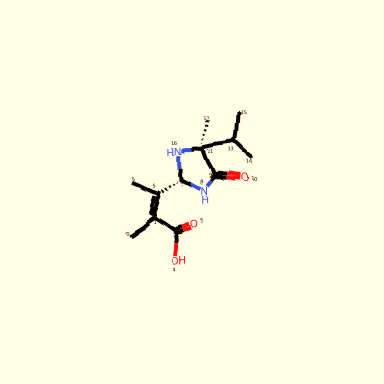 C/C(C(=O)O)=C(\C)[C@H]1NC(=O)[C@](C)(C(C)C)N1